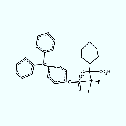 O=C(O)C(C1CCCCC1)(C(F)(F)F)C(F)(F)S(=O)(=O)[O-].c1ccc([S+](c2ccccc2)c2ccccc2)cc1